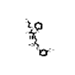 CCCOC(=O)C(NCC(O)COc1cccc(O)c1)Oc1ccccc1